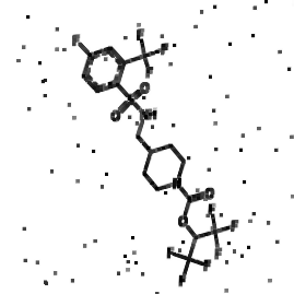 O=C(OC(C(F)(F)F)C(F)(F)F)N1CCC(CNS(=O)(=O)c2ccc(F)cc2C(F)(F)F)CC1